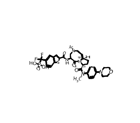 CC(=O)N1CC[C@H]2CC[C@@H](C(=O)N(C)c3ccc(N4CCOCC4)cc3)N2C(=O)C(NC(=O)c2cc3cc(C(F)(F)P(=O)(O)O)ccc3s2)C1